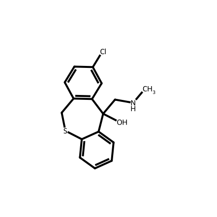 CNCC1(O)c2cc(Cl)ccc2CSc2ccccc21